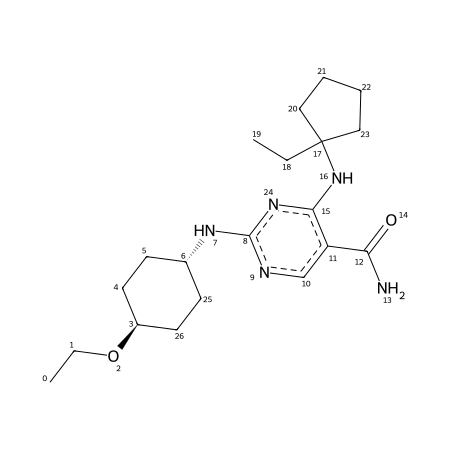 CCO[C@H]1CC[C@H](Nc2ncc(C(N)=O)c(NC3(CC)CCCC3)n2)CC1